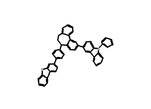 c1ccc(-n2c3ccccc3c3cc(-c4ccc5c(c4)-c4ccccc4CCC5c4ccc(-c5ccc6c(c5)sc5ccccc56)cc4)ccc32)cc1